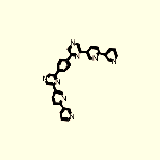 c1cncc(-c2ccc(-c3cncc(-c4ccc(-c5cncc(-c6ccc(-c7cccnc7)nc6)n5)cc4)n3)cn2)c1